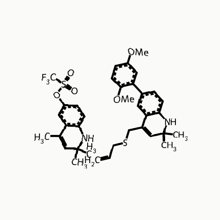 C=CCSCC1=CC(C)(C)Nc2ccc(-c3cc(OC)ccc3OC)cc21.CC1=CC(C)(C)Nc2ccc(OS(=O)(=O)C(F)(F)F)cc21